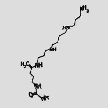 C=C(CCCNC(=O)CCC)NCCCNCCCCNCCCN